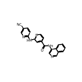 N#Cc1ccc(Nc2cc(C(=O)Nc3cncc4ccccc34)ccn2)nc1